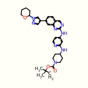 CC(C)(C)OC(=O)N1CCC(Nc2cc(Nc3ncc4ccc(-c5cnn(C6CCCCO6)c5)cc4n3)ccn2)CC1